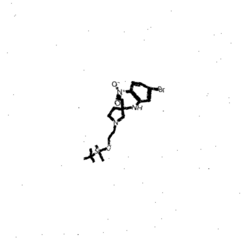 CC1(Nc2cc(Br)ccc2[N+](=O)[O-])CCN(CCO[Si](C)(C)C(C)(C)C)C1